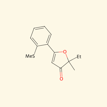 CCC1(C)OC(c2ccccc2SC)=CC1=O